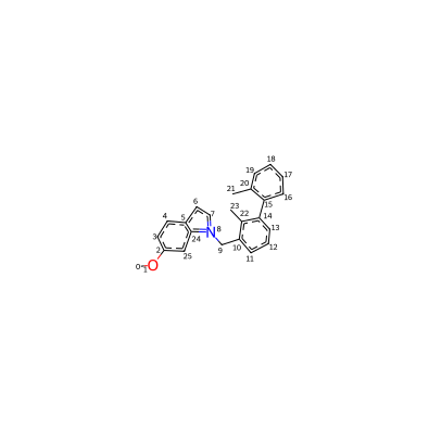 COc1ccc2ccn(Cc3cccc(-c4ccccc4C)c3C)c2c1